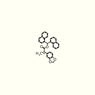 C[C@@H](C(=O)OC(c1cccc2ccccc12)c1cccc2ccccc12)c1ccc2c(c1)OCO2